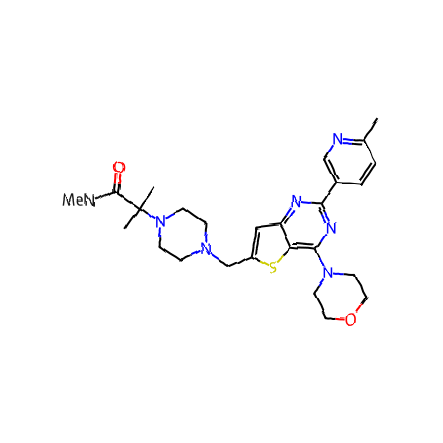 CNC(=O)C(C)(C)N1CCN(Cc2cc3nc(-c4ccc(C)nc4)nc(N4CCOCC4)c3s2)CC1